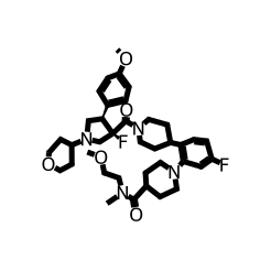 COCCN(C)C(=O)C1CCN(c2cc(F)ccc2C2CCN(C(=O)[C@]3(F)CN(C4CCOCC4)C[C@H]3c3ccc(OC)cc3)CC2)CC1